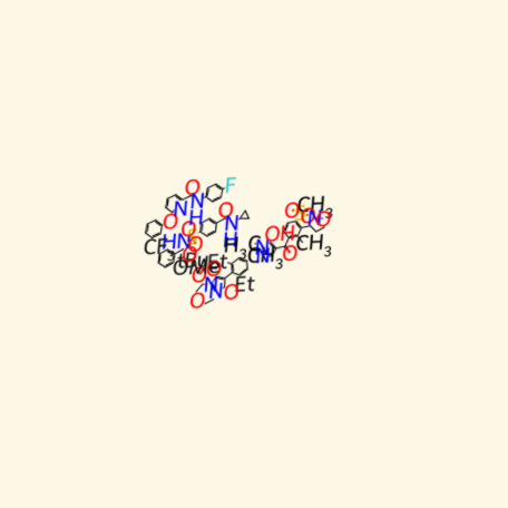 CCc1cc(C)cc(CC)c1-c1c(OC(=O)C(C)(C)C)n2n(c1=O)CCOCC2.COc1ccccc1C(=O)NS(=O)(=O)c1ccc(C(=O)NC2CC2)cc1.Cc1c(C(=O)c2cnn(C)c2O)ccc(S(C)(=O)=O)c1C1=NOCC1.O=C(Nc1ccc(F)cc1)c1cccc(Oc2cccc(C(F)(F)F)c2)n1